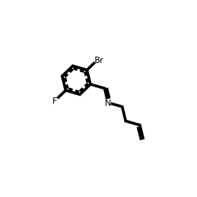 C=CCCN=Cc1cc(F)ccc1Br